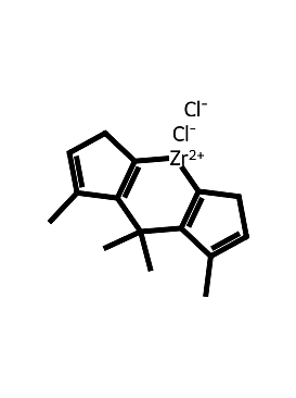 CC1=CC[C]2=C1C(C)(C)C1=[C](CC=C1C)[Zr+2]2.[Cl-].[Cl-]